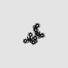 c1ccc(-c2nc(-c3ccccc3)nc(-c3cccc4sc5cc(-c6nc(-c7ccc8oc9ccccc9c8c7)nc7c6sc6ccccc67)ccc5c34)n2)cc1